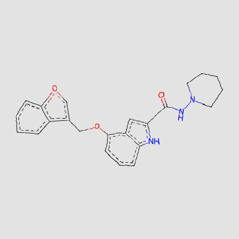 O=C(NN1CCCCC1)c1cc2c(OCc3coc4ccccc34)cccc2[nH]1